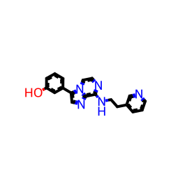 Oc1cccc(-c2cnc3c(NCCc4cccnc4)nccn23)c1